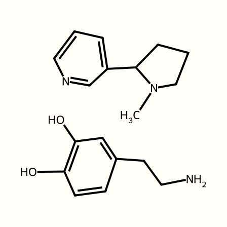 CN1CCCC1c1cccnc1.NCCc1ccc(O)c(O)c1